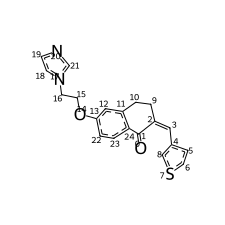 O=C1/C(=C\c2ccsc2)CCc2cc(OCCn3ccnc3)ccc21